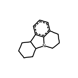 c1cc2c3c(c1)C1CCCCC1N3CCC2